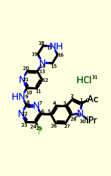 CC(=O)c1cc2cc(-c3nc(Nc4ccc(N5CCNCC5)cn4)ncc3F)ccc2n1C(C)C.Cl